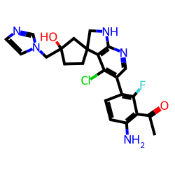 CC(=O)c1c(N)ccc(-c2cnc3c(c2Cl)C2(CCC(O)(Cn4ccnc4)C2)CN3)c1F